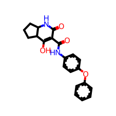 O=C(Nc1ccc(Oc2ccccc2)cc1)C1=C(O)C2CCCC2NC1=O